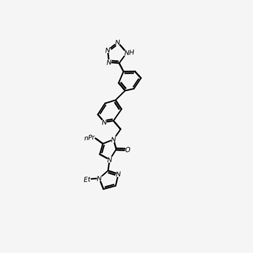 CCCc1cn(-c2nccn2CC)c(=O)n1Cc1cc(-c2cccc(-c3nnn[nH]3)c2)ccn1